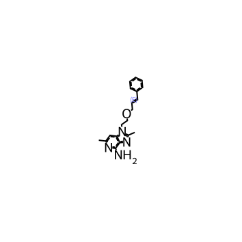 Cc1cc2c(nc(C)n2CCOC/C=C/c2ccccc2)c(N)n1